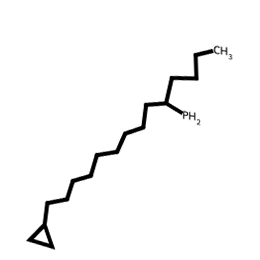 CCCCC(P)CCCCCCCCCC1CC1